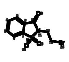 O=C1c2ccccc2S(=O)(=O)N1CCBr